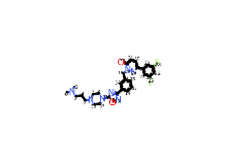 CN(C)CCCN1CCN(c2nc(-c3cccc(Cn4nc(-c5cc(F)cc(F)c5)ccc4=O)c3)no2)CC1